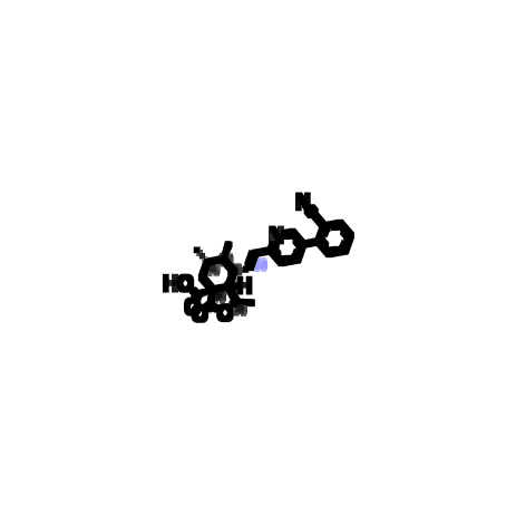 C[C@H]1[C@H](/C=C/c2ccc(-c3ccccc3C#N)cn2)[C@@H]2[C@@H](C)OC(=O)[C@]2(C(=O)O)C[C@@H]1C